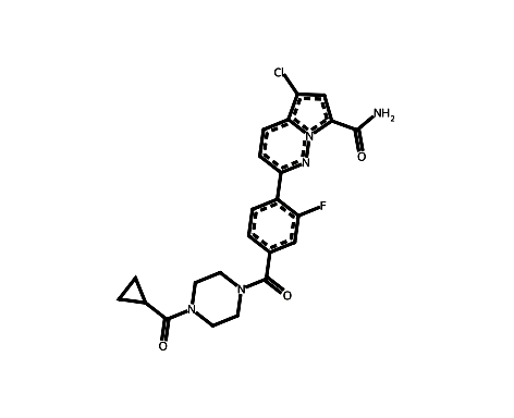 NC(=O)c1cc(Cl)c2ccc(-c3ccc(C(=O)N4CCN(C(=O)C5CC5)CC4)cc3F)nn12